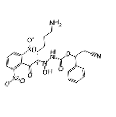 N#CCC(OC(=O)NN(O)[C@@H](CCCCN)C(=O)c1c([N+](=O)[O-])cccc1[N+](=O)[O-])c1ccccc1